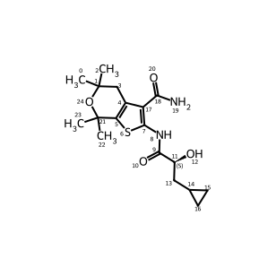 CC1(C)Cc2c(sc(NC(=O)[C@@H](O)CC3CC3)c2C(N)=O)C(C)(C)O1